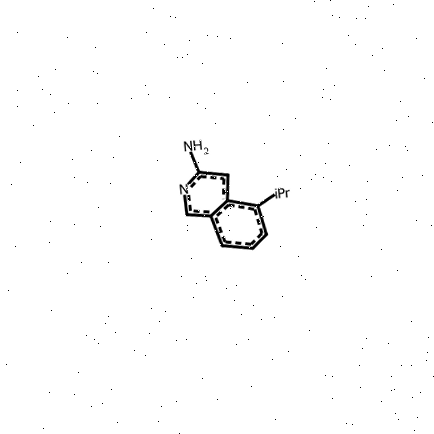 CC(C)c1cccc2cnc(N)cc12